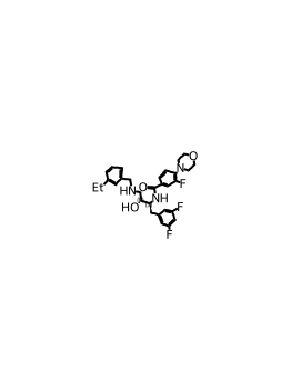 CCc1cccc(CNC[C@@H](O)[C@H](Cc2cc(F)cc(F)c2)NC(=O)c2ccc(N3CCOCC3)c(F)c2)c1